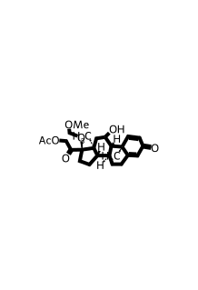 COCO[C@]1(C(=O)COC(C)=O)CC[C@H]2[C@@H]3CCC4=CC(=O)C=C[C@]4(C)[C@H]3C(O)C[C@@]21C